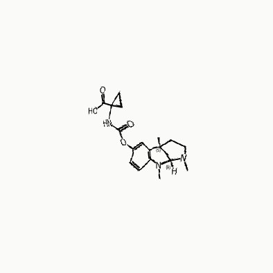 CN1CC[C@@]2(C)c3cc(OC(=O)NC4(C(=O)O)CC4)ccc3N(C)[C@@H]12